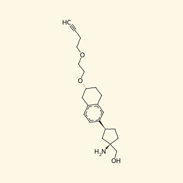 C#CCCOCCO[C@@H]1CCc2cc([C@H]3CC[C@](N)(CO)C3)ccc2C1